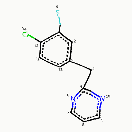 Fc1cc(Cc2ncccn2)ccc1Cl